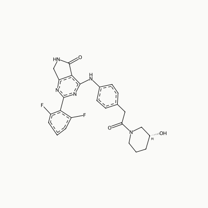 O=C1NCc2nc(-c3c(F)cccc3F)nc(Nc3ccc(CC(=O)N4CCC[C@@H](O)C4)cc3)c21